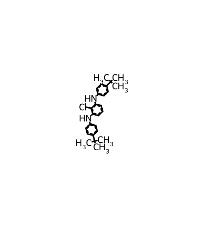 CC(C)(C)c1ccc(Nc2cccc(Nc3ccc(C(C)(C)C)cc3)c2Cl)cc1